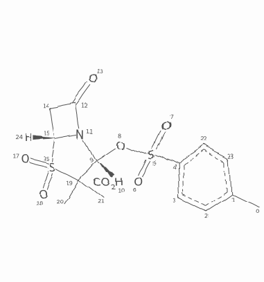 Cc1ccc(S(=O)(=O)O[C@@]2(C(=O)O)N3C(=O)C[C@H]3S(=O)(=O)C2(C)C)cc1